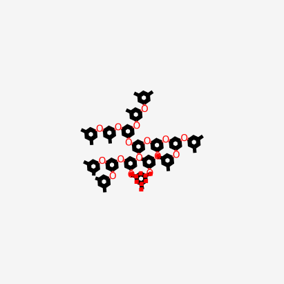 Cc1cc(C)cc(Oc2cc(C)cc(Oc3cc(Oc4cc(C)cc(Oc5cc(C)cc(C)c5)c4)cc(Oc4cc(Oc5cc(Oc6cc(C)cc(C)c6)cc(Oc6cc(Oc7cc(C)cc(C)c7)cc(Oc7cc(C)cc(C)c7)c6)c5)cc(Oc5cc(Oc6cc(C)cc(Oc7cc(C)cc(C)c7)c6)cc(Oc6cc(Oc7cc(C)cc(C)c7)cc(Oc7cc(C)cc(C)c7)c6)c5)c4)c3)c2)c1